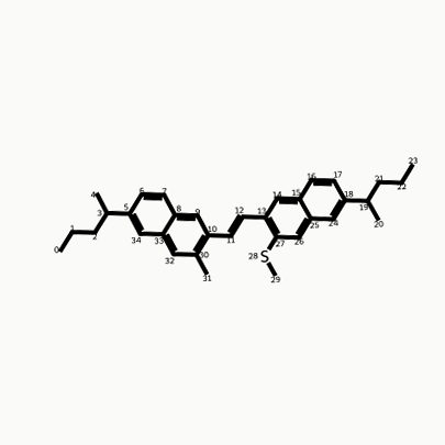 CCCC(C)c1ccc2cc(/C=C/c3cc4ccc(C(C)CCC)cc4cc3SC)c(C)cc2c1